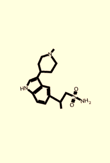 CC(CS(N)(=O)=O)c1ccc2[nH]cc(C3CCN(C)CC3)c2c1